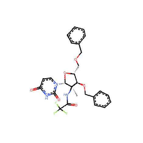 C[C@@]1(NC(=O)C(F)(F)F)[C@H](OCc2ccccc2)[C@@H](COCc2ccccc2)O[C@H]1n1ccc(=O)[nH]c1=O